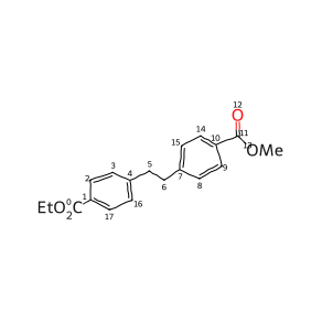 CCOC(=O)c1ccc(CCc2ccc(C(=O)OC)cc2)cc1